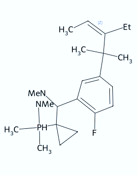 C/C=C(/CC)C(C)(C)c1ccc(F)c(C(NC)C2([PH](C)(C)NC)CC2)c1